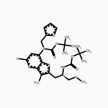 CSC[C@@H](Cc1sc2c(N(Cc3ccco3)C(=O)OC(C)(C)C)cc(Cl)nc2c1C)NC(=O)OC(C)(C)C